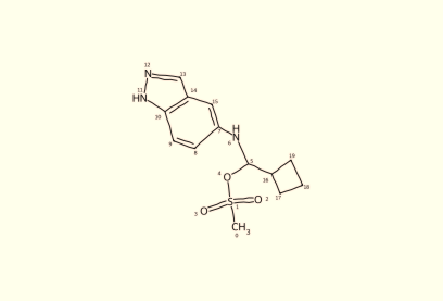 CS(=O)(=O)OC(Nc1ccc2[nH]ncc2c1)C1CCC1